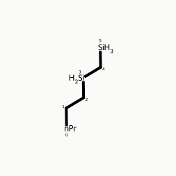 CCCCC[SiH2]C[SiH3]